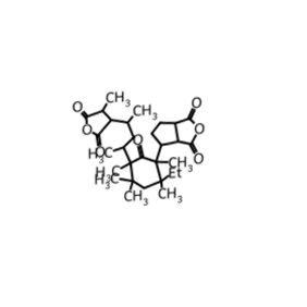 CCC1(C)CC(C)(C)C(C)(C(C)CC(C)C2C(=O)OC(=O)C2C)C(=O)C1(C)C1CCC2C(=O)OC(=O)C21